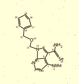 CNc1ncnc2c1c(C(N)=[Se])cn2COCc1ccccc1